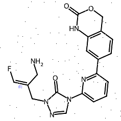 NC/C(=C\F)Cn1ncn(-c2cccc(-c3ccc4c(c3)NC(=O)OC4)n2)c1=O